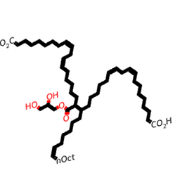 CCCCCCCC/C=C\CCCCCC(CCCCC/C=C\C/C=C\CCCCCCCC(=O)O)C(CCCCC/C=C\C/C=C\CCCCCCCC(=O)O)C(=O)OCC(O)CO